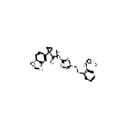 COc1ccccc1CCc1cnc(NC(=O)C2(c3ccc4c(c3)OCO4)CC2)s1